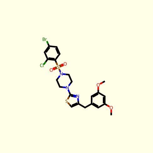 COc1cc(Cc2csc(N3CCN(S(=O)(=O)c4ccc(Br)cc4Cl)CC3)n2)cc(OC)c1